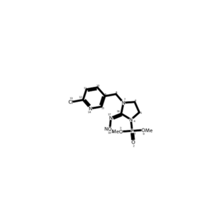 COP(=O)(OC)N1CCN(Cc2ccc(Cl)nc2)C1=N[N+](=O)[O-]